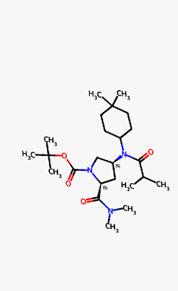 CC(C)C(=O)N(C1CCC(C)(C)CC1)[C@H]1C[C@@H](C(=O)N(C)C)N(C(=O)OC(C)(C)C)C1